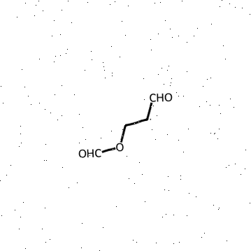 O=C[CH]COC=O